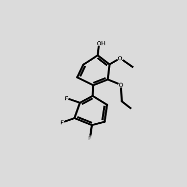 CCOc1c(-c2ccc(F)c(F)c2F)ccc(O)c1OC